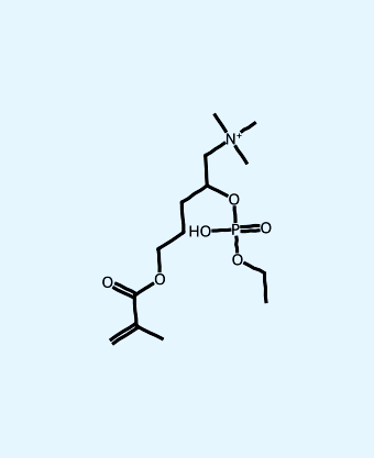 C=C(C)C(=O)OCCCC(C[N+](C)(C)C)OP(=O)(O)OCC